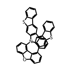 c1cc(-c2ccc3c(c2)sc2ccccc23)c2c(c1)oc1cccc(-n3c4ccccc4c4cc5c(cc43)sc3ccccc35)c12